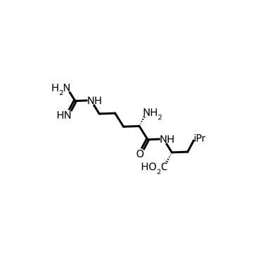 CC(C)C[C@@H](NC(=O)[C@@H](N)CCCNC(=N)N)C(=O)O